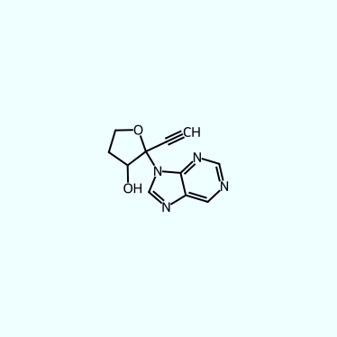 C#CC1(n2cnc3cncnc32)OCCC1O